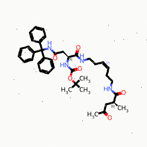 CC(=O)C[C@H](C)C(=O)NCC/C=C\CCNC(=O)[C@H](CC(=O)NC(c1ccccc1)(c1ccccc1)c1ccccc1)NC(=O)OC(C)(C)C